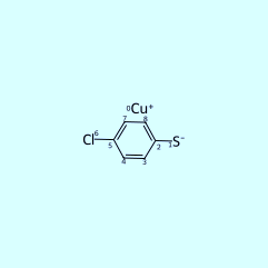 [Cu+].[S-]c1ccc(Cl)cc1